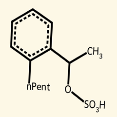 CCCCCc1ccccc1C(C)OS(=O)(=O)O